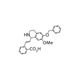 COc1cc2c(cc1OCc1ccccc1)CCNC2C=Cc1ccccc1C(=O)O